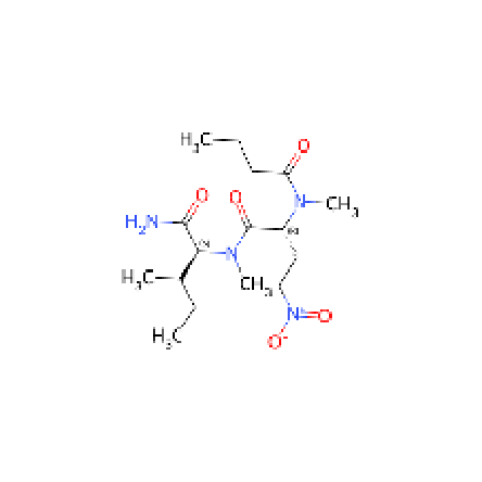 CCCC(=O)N(C)[C@H](CC[N+](=O)[O-])C(=O)N(C)[C@H](C(N)=O)C(C)CC